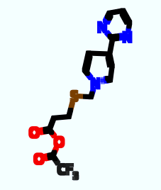 O=C(CCSC[n+]1ccc(-c2ncccn2)cc1)OC(=O)C(F)(F)F